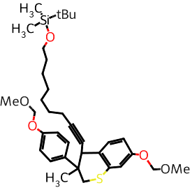 COCOc1ccc(C2(C)CSc3cc(OCOC)ccc3C2C#CCCCCCCCO[Si](C)(C)C(C)(C)C)cc1